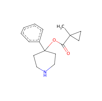 CC1(C(=O)OC2(c3ccccc3)CCNCC2)CC1